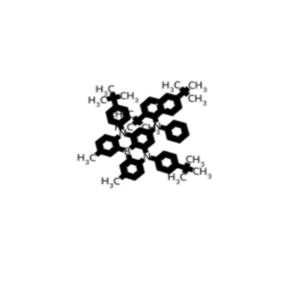 Cc1ccc2c(c1)B1c3cc(C)ccc3N(c3ccc(C(C)(C)C)cc3)c3cc(N(c4ccccc4)c4c(C(C)(C)C)ccc5cc(C(C)(C)C)ccc45)cc(c31)N2c1ccc(C(C)(C)C)cc1